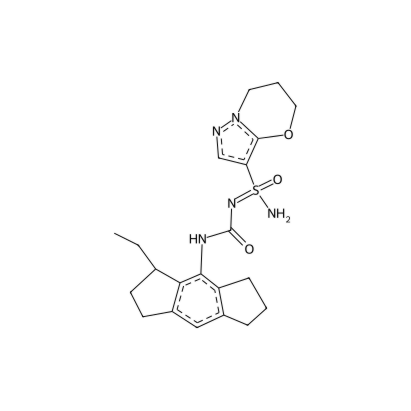 CCC1CCc2cc3c(c(NC(=O)N=S(N)(=O)c4cnn5c4OCCC5)c21)CCC3